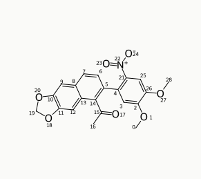 COc1cc(-c2ccc3cc4c(cc3c2C(C)=O)OCO4)c([N+](=O)[O-])cc1OC